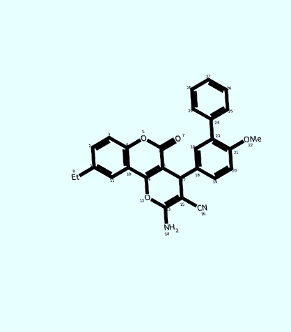 CCc1ccc2oc(=O)c3c(c2c1)OC(N)=C(C#N)C3c1ccc(OC)c(-c2ccccc2)c1